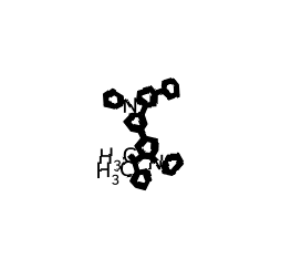 CC1(C)c2ccccc2N(c2ccccc2)c2ccc(-c3ccc4c(c3)c3cc(-c5ccccc5)ccc3n4-c3ccccc3)cc21